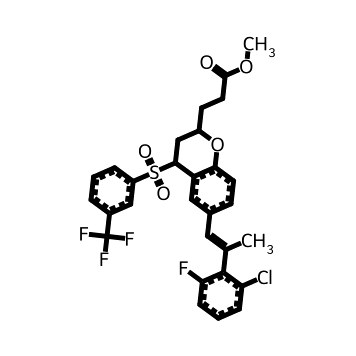 COC(=O)CCC1CC(S(=O)(=O)c2cccc(C(F)(F)F)c2)c2cc(/C=C(\C)c3c(F)cccc3Cl)ccc2O1